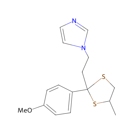 COc1ccc(C2(CCn3ccnc3)SCC(C)S2)cc1